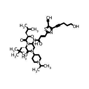 C#Cc1sc(/C=C/C(=O)N2O[C@H](CC(C)C)C(=O)N3[C@@H]2CN(C2CCN(C(C)C)CC2)C(=O)[C@@H]3CC(C)(C)C)nc1C#CCCCO